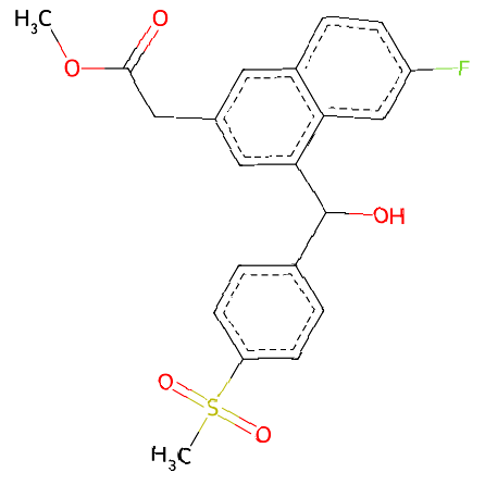 COC(=O)Cc1cc(C(O)c2ccc(S(C)(=O)=O)cc2)c2cc(F)ccc2c1